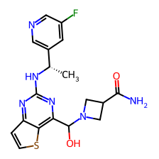 C[C@H](Nc1nc(C(O)N2CC(C(N)=O)C2)c2sccc2n1)c1cncc(F)c1